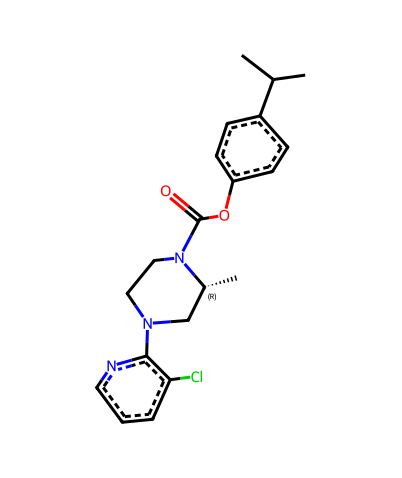 CC(C)c1ccc(OC(=O)N2CCN(c3ncccc3Cl)C[C@H]2C)cc1